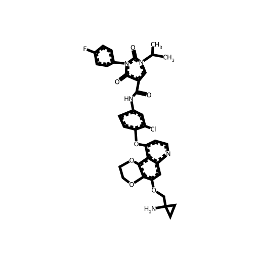 CC(C)n1cc(C(=O)Nc2ccc(Oc3ccnc4cc(OCC5(N)CC5)c5c(c34)OCCO5)c(Cl)c2)c(=O)n(-c2ccc(F)cc2)c1=O